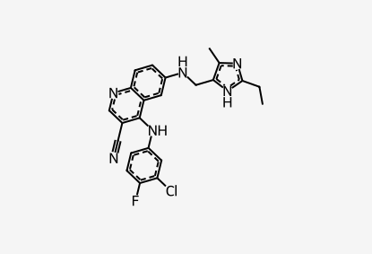 CCc1nc(C)c(CNc2ccc3ncc(C#N)c(Nc4ccc(F)c(Cl)c4)c3c2)[nH]1